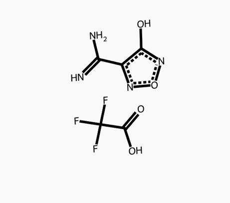 N=C(N)c1nonc1O.O=C(O)C(F)(F)F